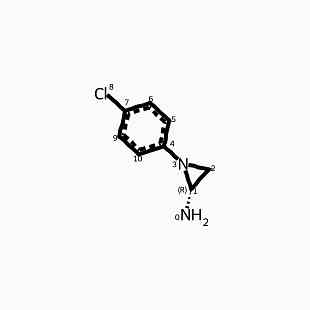 N[C@H]1CN1c1ccc(Cl)cc1